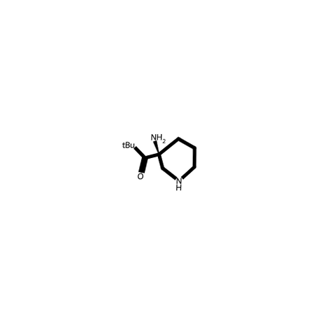 CC(C)(C)C(=O)[C@]1(N)CCCNC1